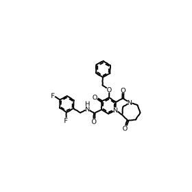 O=C(NCc1ccc(F)cc1F)c1cn2c(c(OCc3ccccc3)c1=O)C(=O)N1CCCC(=O)C2C1